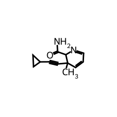 CC1(C#CC2CC2)C=CC=NC1C(N)=O